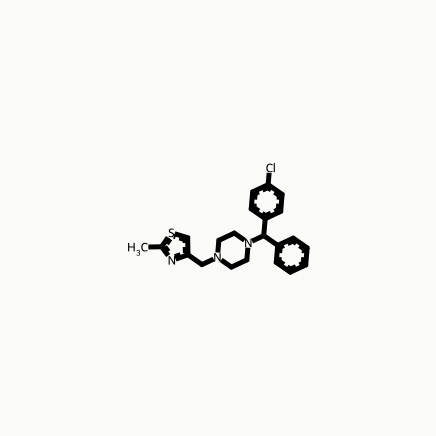 Cc1nc(CN2CCN(C(c3ccccc3)c3ccc(Cl)cc3)CC2)cs1